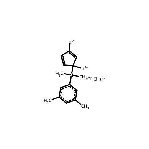 CCCC1=C[C]([Ti+3])([Si](C)(C)c2cc(C)cc(C)c2)C=C1.[Cl-].[Cl-].[Cl-]